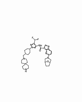 O=C(Nc1cn(C2CCC(CN3CCC4(CCNCC4)CC3)CC2)nc1C(F)F)c1cnn2ccc(N3CC4CCC(C3)O4)nc12